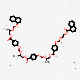 CC(COC(=O)c1ccc(OCOCCOC(=O)c2cccc3ccccc23)cc1)OCOc1ccc(C(=O)OCC(C)OCOc2ccc(C(=O)OCC(C)OCOc3cccc4ccccc34)cc2)cc1